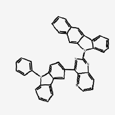 c1ccc(-n2c3ccccc3c3cc(-c4nc(-n5c6ccccc6c6cc7ccccc7cc65)nc5cccnc45)ccc32)cc1